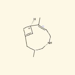 C/C1=C/CNCC(C)CC2=C[C@H]1C2